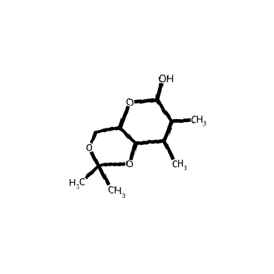 CC1C(O)OC2COC(C)(C)OC2C1C